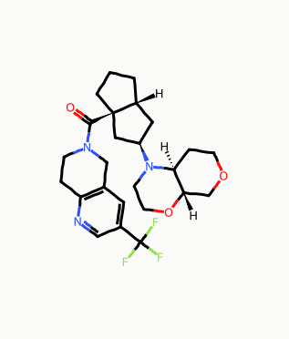 O=C(N1CCc2ncc(C(F)(F)F)cc2C1)[C@@]12CCC[C@@H]1C[C@@H](N1CCO[C@H]3COCC[C@@H]31)C2